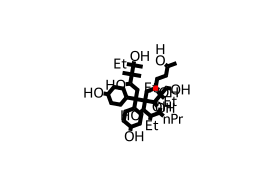 CCCC(O)C(CC)C(O)C(CC(O)CCC(C)O)(C(O)C(CC)(CC)CO)C(CC(O)C(C)(C)C(C)(O)CC)(C1CCC(O)CC1)C1CCC(O)CC1